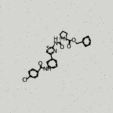 O=C(Nc1cccc(-c2csc(NC(=O)[C@@H]3CCCN3C(=O)OCc3ccccc3)n2)c1)c1ccc(Cl)cc1